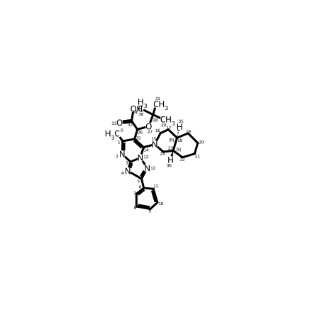 Cc1nc2nc(-c3ccccc3)nn2c(N2CC[C@H]3CCCC[C@@H]3C2)c1C(OC(C)(C)C)C(=O)O